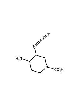 [N-]=[N+]=NC1CN(C(=O)O)CCC1N